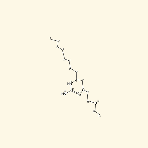 CCCCCCCCC(COCCOCC)NC(=S)S